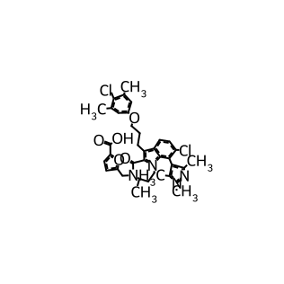 Cc1cc(OCCCc2c3n(c4c(-c5c(C)nn(C)c5C)c(Cl)ccc24)CCC(C)N(Cc2ccc(C(=O)O)o2)C3=O)cc(C)c1Cl